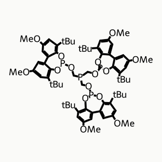 COc1cc(C(C)(C)C)c2op(OCP(COp3oc4c(C(C)(C)C)cc(OC)cc4c4cc(OC)cc(C(C)(C)C)c4o3)COp3oc4c(C(C)(C)C)cc(OC)cc4c4cc(OC)cc(C(C)(C)C)c4o3)oc3c(C(C)(C)C)cc(OC)cc3c2c1